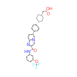 O=C(O)C[C@H]1CC[C@H](c2ccc(-c3ccc4nc(C(=O)Nc5cccc(OC(F)(F)F)c5)cn4c3)cc2)CC1